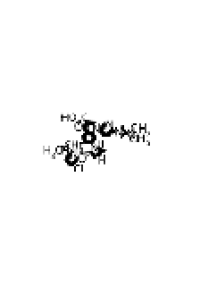 CN(C)c1ccc(Cl)c(OC[C@H]2C[C@H]3C[C@H]3N2c2cc3c(cc2F)c(=O)c(C(=O)O)cn3-c2ccc(N3CC(N(C)C)C3)nc2)n1